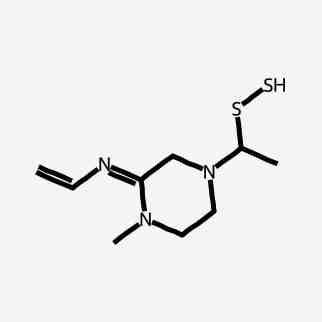 C=C/N=C1/CN(C(C)SS)CCN1C